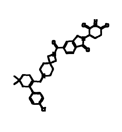 CC1(C)CCC(CN2CCC3(CC2)CN(C(=O)c2ccc4c(c2)CN(C2CCC(=O)NC2=O)C4=O)C3)=C(c2ccc(Cl)cc2)C1